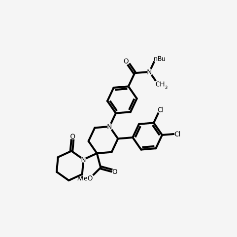 CCCCN(C)C(=O)c1ccc(N2CCC(C(=O)OC)(N3CCCCC3=O)CC2c2ccc(Cl)c(Cl)c2)cc1